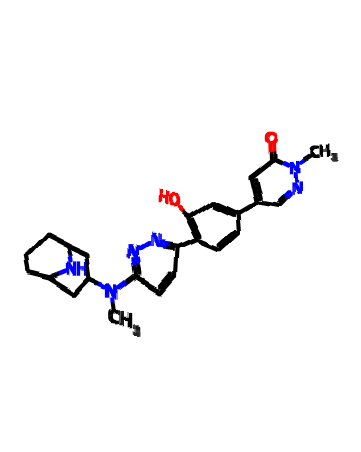 CN(c1ccc(-c2ccc(-c3cnn(C)c(=O)c3)cc2O)nn1)C1CC2CCCC(C1)N2